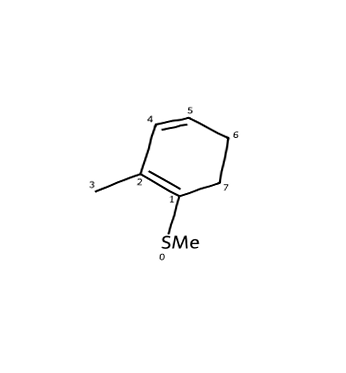 CSC1=C(C)C=CCC1